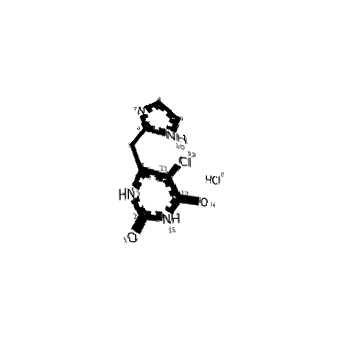 Cl.O=c1[nH]c(Cc2ncc[nH]2)c(Cl)c(=O)[nH]1